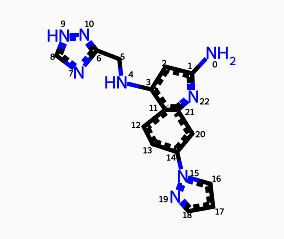 Nc1cc(NCc2nc[nH]n2)c2ccc(-n3cccn3)cc2n1